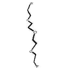 CC(C)CCOCCOCCOCCC(C)C